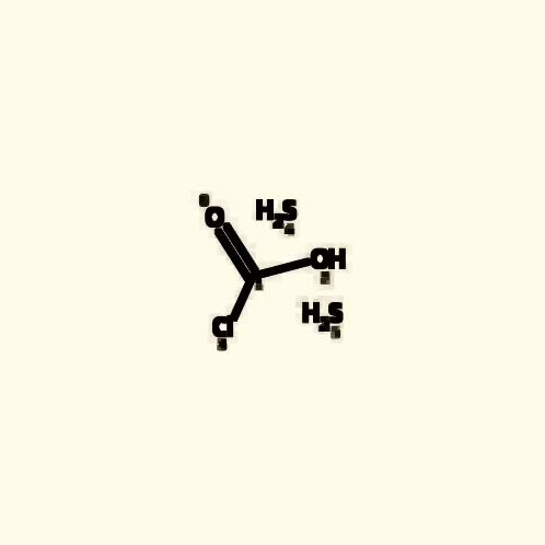 O=C(O)Cl.S.S